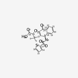 CC(C)(C)C(OC1=CC(=NS(=O)(=O)c2cccs2)c2ccccc2C1=O)C(=O)O